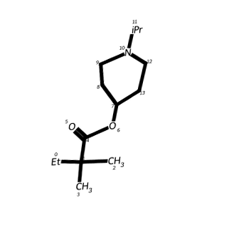 CCC(C)(C)C(=O)OC1CCN(C(C)C)CC1